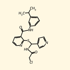 CC(C)c1cccc(NC(=O)c2cccnc2SC(NC(=O)CCl)c2ccncc2)c1